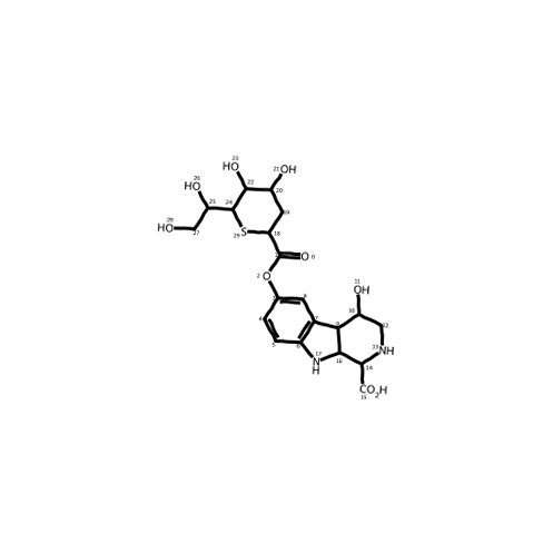 O=C(Oc1ccc2c(c1)C1C(O)CNC(C(=O)O)C1N2)C1CC(O)C(O)C(C(O)CO)S1